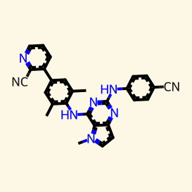 Cc1cc(-c2cccnc2C#N)cc(C)c1Nc1nc(Nc2ccc(C#N)cc2)nc2ccn(C)c12